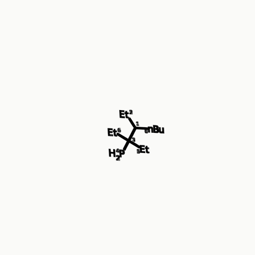 CCCCC(CC)C(P)(CC)CC